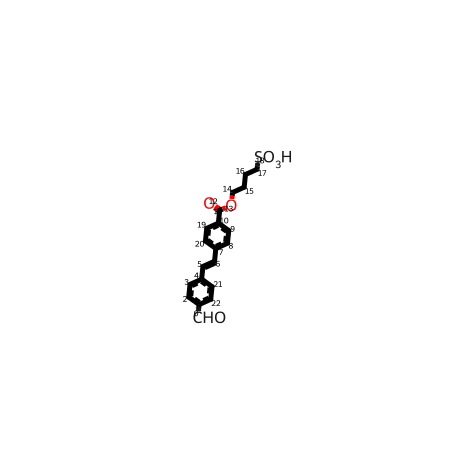 O=Cc1ccc(/C=C/c2ccc(C(=O)OCCCCS(=O)(=O)O)cc2)cc1